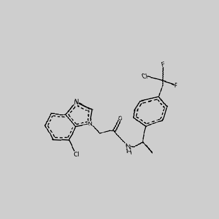 CC(NC(=O)Cn1cnc2cccc(Cl)c21)c1ccc(C(F)(F)Cl)cc1